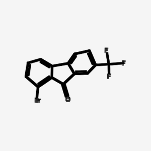 O=C1c2cc(C(F)(F)F)ccc2-c2cccc(Br)c21